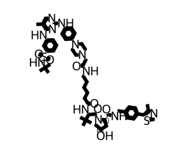 Cc1cnc(Nc2ccc(N3CCN(CC(=O)NCCCCCC(=O)NC(C(=O)N4C[C@H](O)C[C@H]4C(=O)NCc4ccc(-c5scnc5C)cc4)C(C)(C)C)CC3)cc2)nc1Nc1cccc(S(=O)(=O)NC(C)(C)C)c1